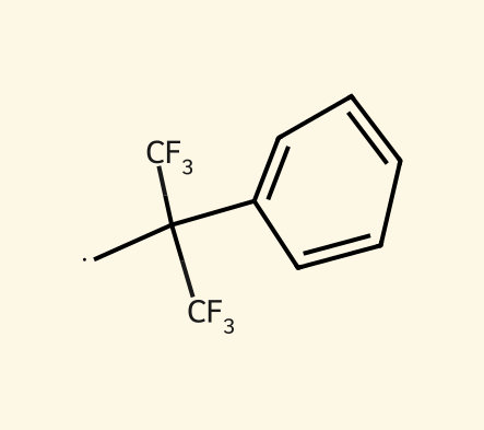 [CH2]C(c1ccccc1)(C(F)(F)F)C(F)(F)F